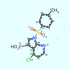 Cc1ccc(S(=O)(=O)n2cc(C(=O)O)c3c(Cl)ccnc32)cc1